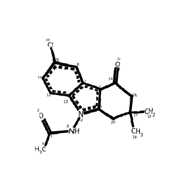 CC(=O)Nn1c2c(c3cc(Cl)ccc31)C(=O)CC(C)(C)C2